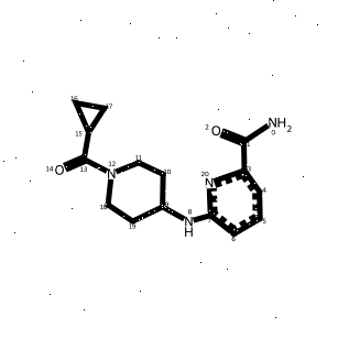 NC(=O)c1[c]ccc(NC2CCN(C(=O)C3CC3)CC2)n1